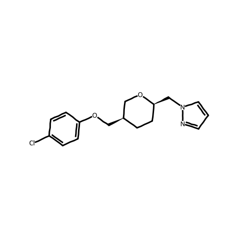 Clc1ccc(OC[C@@H]2CC[C@H](Cn3cccn3)OC2)cc1